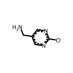 NCc1cnc(Cl)nc1